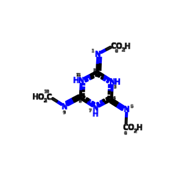 O=C(O)N=c1[nH]c(=NC(=O)O)[nH]c(=NC(=O)O)[nH]1